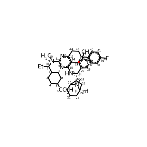 CC[C@H](C1CCC(C(=O)O)CC1)N(C)c1nc2c(c(N[C@@H](CN3C4CCC[C@@H]3CC4)c3cnn(C)c3)n1)CN(c1ccc(F)cc1)CC2